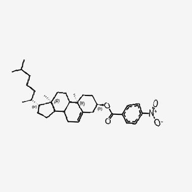 CC(C)CCCC(C)[C@H]1CCC2C3CC=C4C[C@H](OC(=O)c5ccc([N+](=O)[O-])cc5)CC[C@]4(C)C3CC[C@@]21C